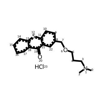 CN(C)CCCOCc1ccc2sc3ccccc3c(=O)c2c1.Cl